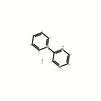 [I-].c1cc[n+](-c2cnccn2)cc1